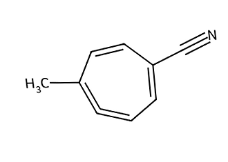 CC1=C=CC=C(C#N)C=C1